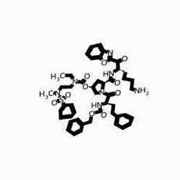 CCN(CCN(C)S(=O)(=O)c1ccccc1)C(=O)O[C@@H]1C[C@@H](C(=O)N[C@@H](CCCCN)C(=O)c2nc3ccccc3o2)N(C(=O)[C@@H](CCc2ccccc2)NC(=O)OCc2ccccc2)C1